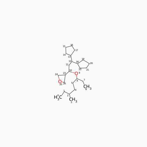 CCC(C)CCC(CC)OC(CC(C1CCCC1)C1CCCC1)C1COC1